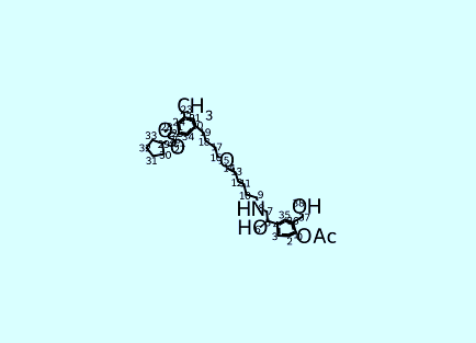 CC(=O)Oc1ccc([C@@H](O)CNCCCCCCOCCCCc2cc(C)cc(S(=O)(=O)C3CCCC3)c2)cc1CO